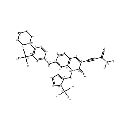 CN(C)C(=O)C#Cc1cc2cnc(Nc3ccc(N4CCNCC4)c(C(F)(F)F)c3)nc2n(Cc2cccn2C(F)(F)F)c1=O